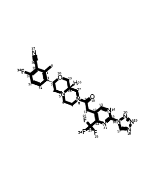 Cc1c([C@H]2CN3CCN(C(=O)Cc4cnc(-n5cnnn5)nc4C(F)(F)F)C[C@H]3CO2)ccc(F)c1C#N